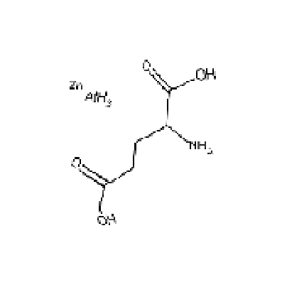 NC(CCC(=O)O)C(=O)O.[AlH3].[Zn]